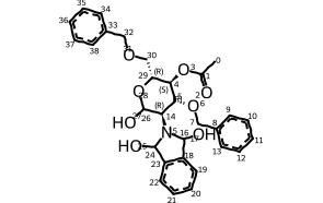 CC(=O)O[C@H]1[C@H](OCc2ccccc2)[C@@H](N2C(O)c3ccccc3C2O)C(O)O[C@@H]1COCc1ccccc1